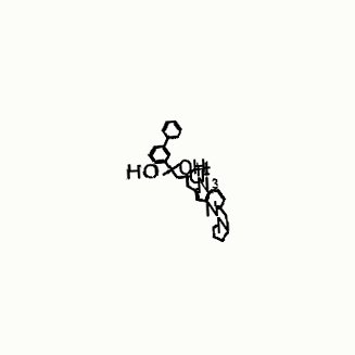 CC(C)(CC(O)(Cc1cc2nc(CN3CCCC3)ccc2[nH]1)C(F)(F)F)c1cc(-c2ccccc2)ccc1O